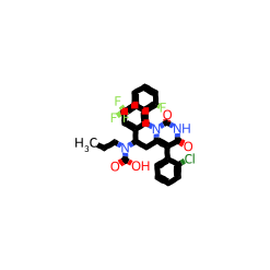 CCCN(C(=O)O)C(Cc1c(-c2ccccc2Cl)c(=O)[nH]c(=O)n1Cc1c(F)cccc1C(F)(F)F)c1ccccc1